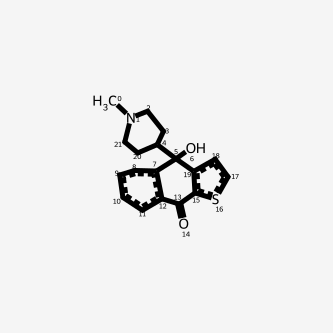 CN1CCC(C2(O)c3ccccc3C(=O)c3sccc32)CC1